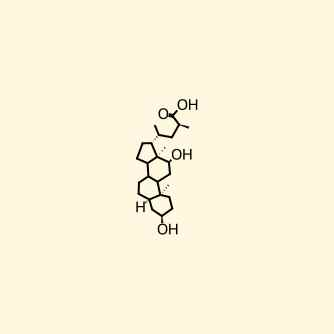 CC(C[C@H](C)C(=O)O)[C@H]1CCC2C3CC[C@@H]4C[C@H](O)CC[C@]4(C)C3C[C@H](O)[C@@]21C